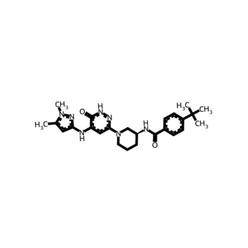 Cc1cc(Nc2cc(N3CCC[C@H](NC(=O)c4ccc(C(C)(C)C)cc4)C3)n[nH]c2=O)nn1C